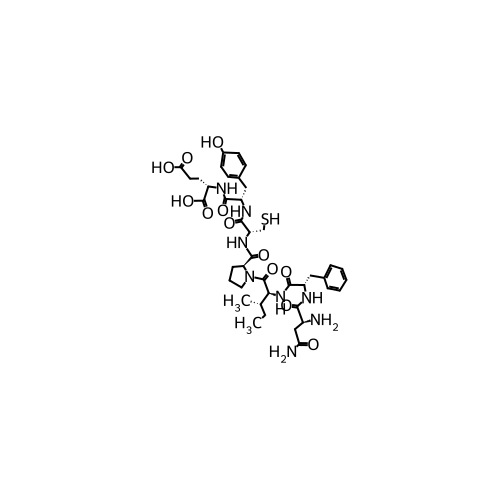 CC[C@H](C)[C@H](NC(=O)[C@H](Cc1ccccc1)NC(=O)[C@@H](N)CC(N)=O)C(=O)N1CCC[C@H]1C(=O)N[C@@H](CS)C(=O)N[C@@H](Cc1ccc(O)cc1)C(=O)N[C@@H](CCC(=O)O)C(=O)O